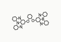 CN1c2ccccc2B2c3ccccc3N(C)c3cc(Oc4ccccc4Oc4cc5c6c(c4)N(C)c4ccccc4N6c4ccccc4N5C)cc1c32